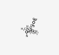 C[C@H](NC(=O)[C@@H]1C[C@@H](OC(=O)c2ccc([N+](=O)[O-])cc2)CN1C(=O)OC(C)(C)C)c1ccc(C#N)cc1